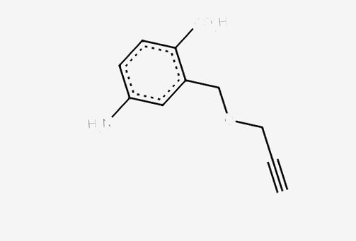 C#CCOCc1cc(N)ccc1C(=O)O